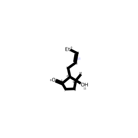 CC/C=C\CC1C(=O)CCC1(C)O